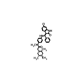 C[C@@H]1CN(CC(=O)N(C)c2ccc(NC(=C3C(=O)Nc4cc(Cl)ccc43)c3ccccc3)cc2)[C@@H](C)CN1C